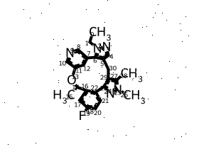 CCn1ncc2c1-c1cncc(c1)O[C@H](C)c1cc(F)ccc1-c1nn(C)c(C)c1C2